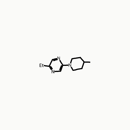 CCc1cnc(N2CCC(C)CC2)cn1